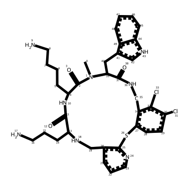 CN1C(=O)C(CCCCN)NC(=O)C(CCCN)NCc2cccnc2Sc2ccc(Cl)c(Cl)c2CNC(=O)C1Cc1c[nH]c2ccccc12